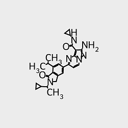 CC(C)c1cc(-c2ccn3nc(N)c(C(=O)NC4CC4)c3n2)cc2c1C(=O)N(C(C)C1CC1)C2